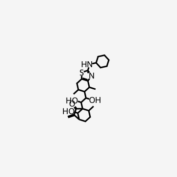 C=C1C(=O)C2(C(O)C(O)C3C(C)Cc4sc(NC5CCCCC5)nc4C3C)C(C)CCC1C2O